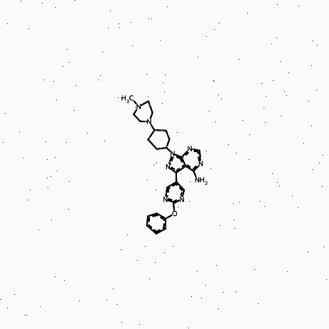 CN1CCN(C2CCC(n3nc(-c4cnc(Oc5ccccc5)nc4)c4c(N)ncnc43)CC2)CC1